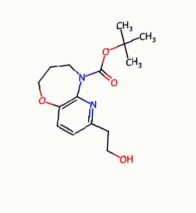 CC(C)(C)OC(=O)N1CCCOc2ccc(CCO)nc21